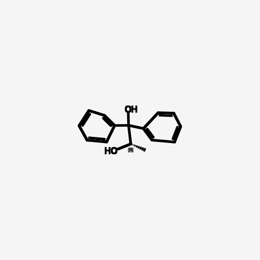 C[C@H](O)C(O)(c1ccccc1)c1ccccc1